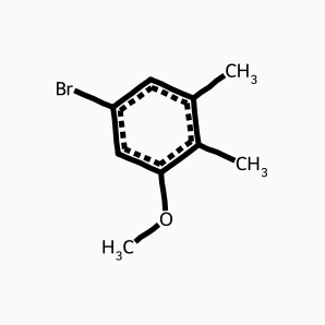 COc1cc(Br)cc(C)c1C